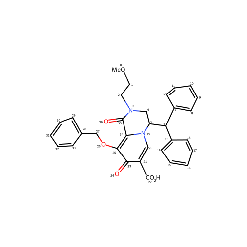 COCCN1CC(C(c2ccccc2)c2ccccc2)n2cc(C(=O)O)c(=O)c(OCc3ccccc3)c2C1=O